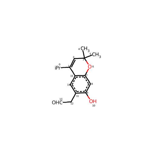 CC(C)C1=CC(C)(C)Oc2cc(O)c(CC=O)cc21